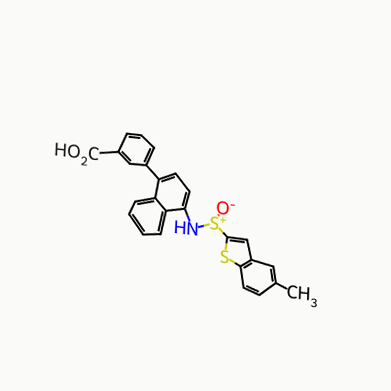 Cc1ccc2sc([S+]([O-])Nc3ccc(-c4cccc(C(=O)O)c4)c4ccccc34)cc2c1